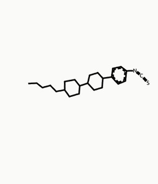 CCCCCC1CCC(C2CCC(c3ccc(N=C=S)cc3)CC2)CC1